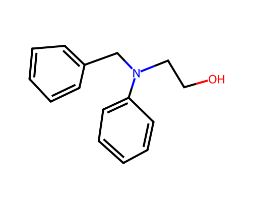 OCCN(Cc1ccccc1)c1ccccc1